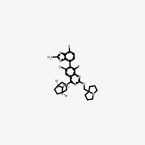 Nc1nc2c(-c3c(Cl)cc4c(N5C[C@H]6CC[C@@H](C5)C6N)nc(OCC56CCCN5CCC6)nc4c3F)ccc(F)c2s1